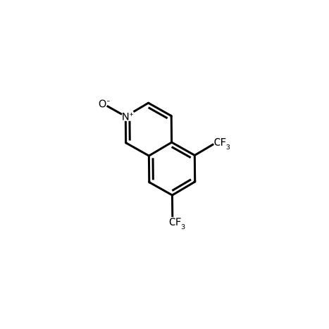 [O-][n+]1ccc2c(C(F)(F)F)cc(C(F)(F)F)cc2c1